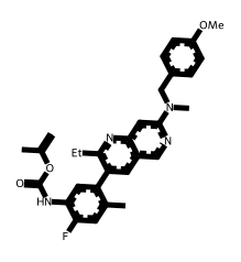 C=C(C)OC(=O)Nc1cc(-c2cc3cnc(N(C)Cc4ccc(OC)cc4)cc3nc2CC)c(C)cc1F